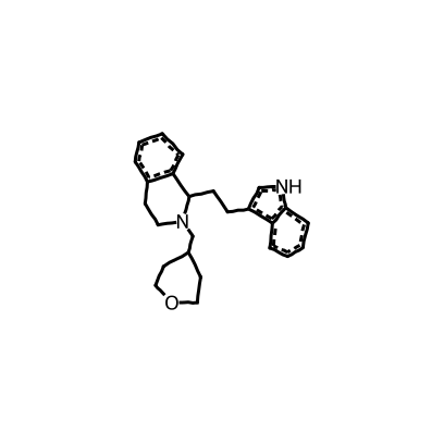 c1ccc2c(c1)CCN(CC1CCOCC1)C2CCc1c[nH]c2ccccc12